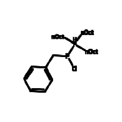 CCCCCCCC[PH](CCCCCCCC)(CCCCCCCC)P(Cl)Cc1ccccc1